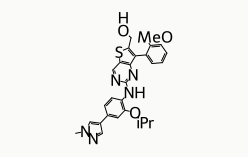 COc1ccccc1-c1c(CO)sc2cnc(Nc3ccc(-c4cnn(C)c4)cc3OC(C)C)nc12